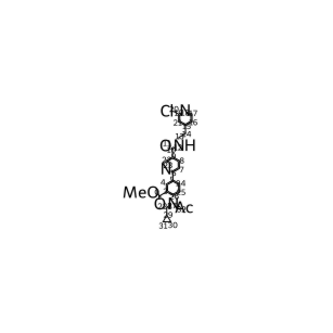 COC(=O)c1cc(-c2ccc(C(=O)NCCc3ccnc(Cl)c3)cn2)ccc1N(CC1CC1)C(C)=O